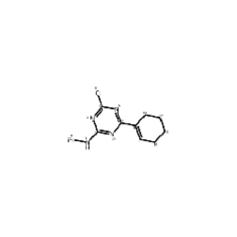 CC(C)Nc1nc(Cl)nc(C2=CCCCC2)n1